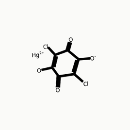 O=C1C([O-])=C(Cl)C(=O)C([O-])=C1Cl.[Hg+2]